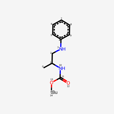 CC(CNc1ccccc1)NC(=O)OC(C)(C)C